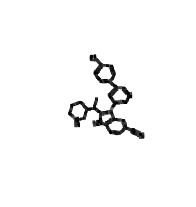 CC(c1[nH]c2ccc(C#N)cc2c1-c1cncc(-c2ccc(Cl)cc2)c1)C1CCCNC1